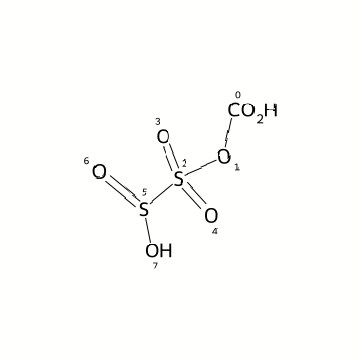 O=C(O)OS(=O)(=O)S(=O)O